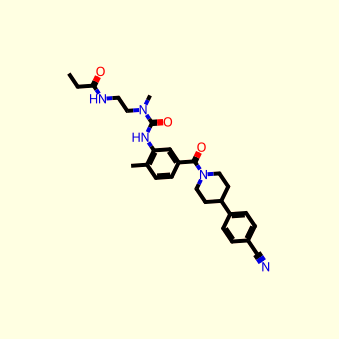 CCC(=O)NCCN(C)C(=O)Nc1cc(C(=O)N2CCC(c3ccc(C#N)cc3)CC2)ccc1C